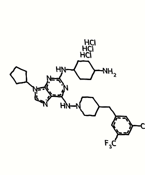 Cl.Cl.Cl.NC1CCC(Nc2nc(NN3CCC(Cc4cc(C(F)(F)F)cc(C(F)(F)F)c4)CC3)c3ncn(C4CCCC4)c3n2)CC1